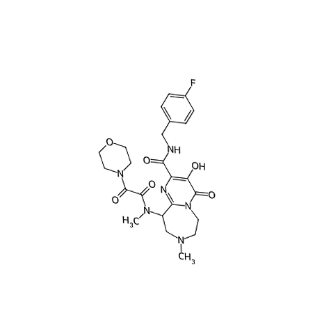 CN1CCn2c(nc(C(=O)NCc3ccc(F)cc3)c(O)c2=O)C(N(C)C(=O)C(=O)N2CCOCC2)C1